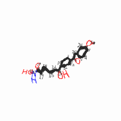 COc1ccc2oc(-c3ccc(C(O)CCCCC(=O)NO)cc3)cc2c1